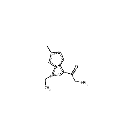 CCn1cc(C(=O)CN)c2ccc(I)cc21